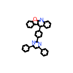 c1ccc(-c2cc(-c3ccccc3)nc(-c3ccc(-c4c5ccccc5nc5oc6ccccc6c45)cc3)n2)cc1